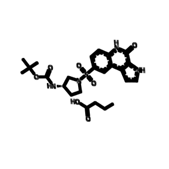 CC(C)(C)OC(=O)N[C@H]1CCN(S(=O)(=O)c2ccc3[nH]c(=O)c4[nH]ccc4c3c2)C1.CCCC(=O)O